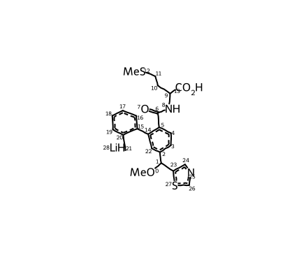 COC(c1ccc(C(=O)NC(CCSC)C(=O)O)c(-c2ccccc2C)c1)c1cncs1.[LiH]